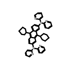 c1ccc(N(c2ccc3c(C4CCCCC4)c4ccc(N(c5ccccn5)c5ccccn5)cc4c(C4CCCCC4)c3c2)c2ccccn2)nc1